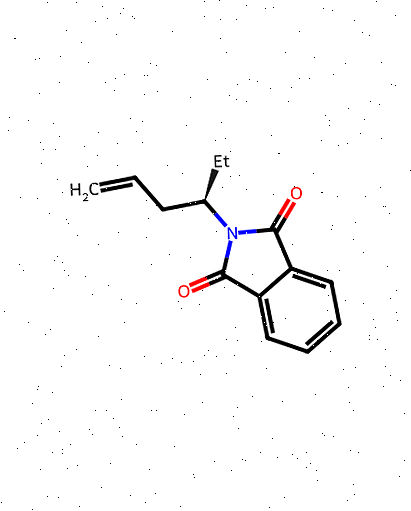 C=CC[C@@H](CC)N1C(=O)c2ccccc2C1=O